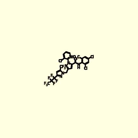 O=C(O)c1cc(Cl)cc(Cl)c1NC(=O)c1cc(Cn2nc(C(F)(F)C(F)(F)C(F)(F)F)cc2C(F)(F)F)nn1-c1ncccc1Cl